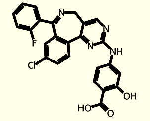 O=C(O)c1ccc(Nc2ncc3c(n2)-c2ccc(Cl)cc2C(c2ccccc2F)=NC3)cc1O